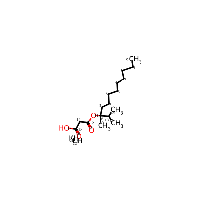 CCCCCCCCCC(C)(OC(=O)CC(=O)O)C(C)C.[KH].[LiH]